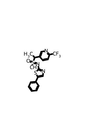 CC(c1ccc(C(F)(F)F)nc1)S(C)(=O)=Nc1ncc(-c2ccccc2)s1